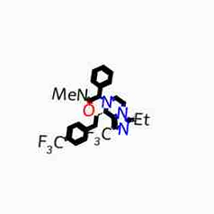 CCc1nc(C(F)(F)F)c2n1CCN([C@@H](C(=O)NC)c1ccccc1)[C@H]2CCc1ccc(C(F)(F)F)cc1